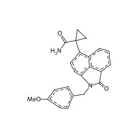 COc1ccc(CN2C(=O)c3cccc4c(C5(C(N)=O)CC5)ccc2c34)cc1